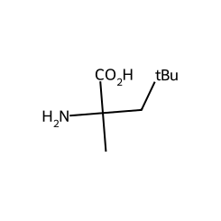 CC(C)(C)CC(C)(N)C(=O)O